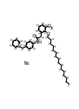 CCCCCCCCCCCCCCCCOc1c(CC(=O)Nc2ccc(C[n+]3ccccc3)cc2)cccc1OC.[Br-]